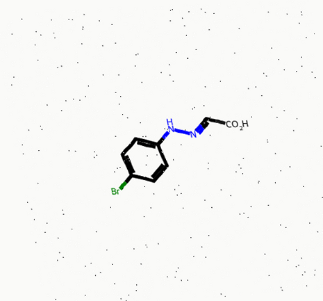 O=C(O)/C=N/Nc1ccc(Br)cc1